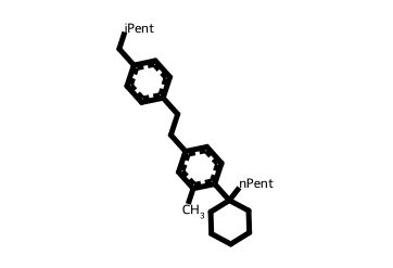 CCCCCC1(c2ccc(CCc3ccc(CC(C)CCC)cc3)cc2C)CCCCC1